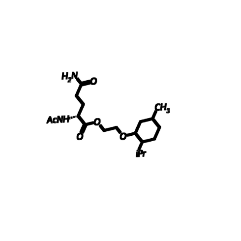 CC(=O)N[C@H](CCC(N)=O)C(=O)OCCOC1CC(C)CCC1C(C)C